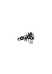 COc1ccc(OC(=O)c2c(I)c(NC(C)=O)c(I)c(N(C)C(C)=O)c2I)cc1